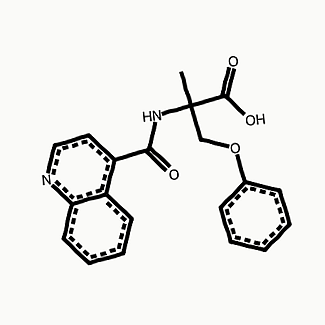 CC(COc1ccccc1)(NC(=O)c1ccnc2ccccc12)C(=O)O